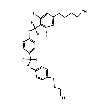 CCCCCc1cc(F)c(C(F)(F)Oc2ccc(C(F)(F)Oc3ccc(CCCC)cc3)cc2)c(F)c1